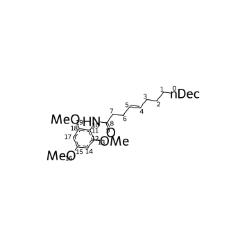 CCCCCCCCCCCCCC=CCCC(=O)Nc1c(OC)cc(OC)cc1OC